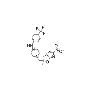 CC1(CN2CCN(Nc3ccc(C(F)(F)F)cc3)CC2)Cn2cc([N+](=O)[O-])nc2O1